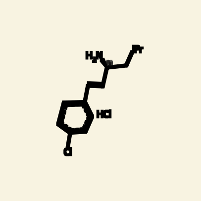 CC(C)C[C@H](N)C=Cc1ccc(Cl)cc1.Cl